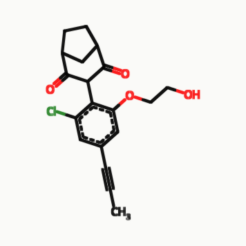 CC#Cc1cc(Cl)c(C2C(=O)C3CCC(C3)C2=O)c(OCCO)c1